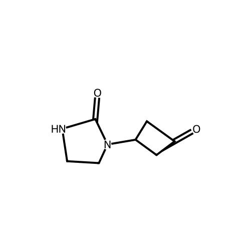 O=C1CC(N2CCNC2=O)C1